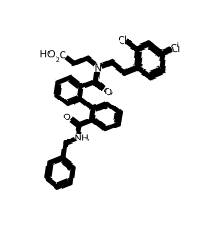 O=C(O)CCN(CCc1ccc(Cl)cc1Cl)C(=O)c1ccccc1-c1ccccc1C(=O)NCc1ccccc1